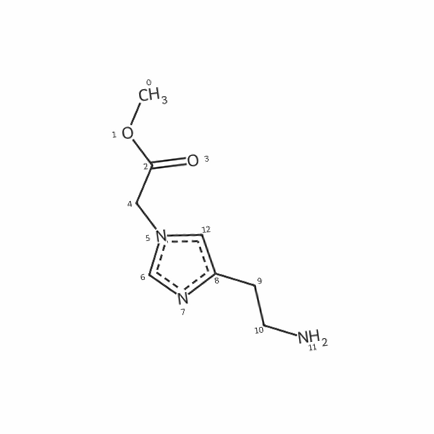 COC(=O)Cn1cnc(CCN)c1